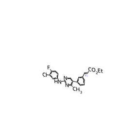 CCOC(=O)/C=C/c1cccc(-c2cnc(Nc3ccc(F)c(Cl)c3)nc2C)c1